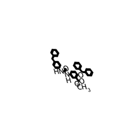 COC(=O)c1cc(NC(=O)Nc2ccc(Cc3ccccc3)cc2)ccc1OC(c1ccccc1)c1ccccc1